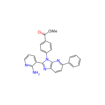 COC(=O)c1ccc(-n2c(-c3cccnc3N)nc3ccc(-c4ccccc4)nc32)cc1